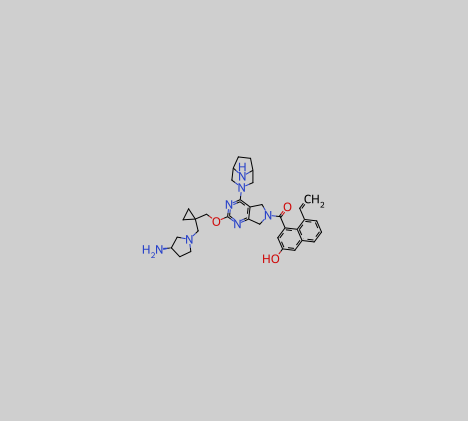 C=Cc1cccc2cc(O)cc(C(=O)N3Cc4nc(OCC5(CN6CC[C@@H](N)C6)CC5)nc(N5CC6CCC(C5)N6)c4C3)c12